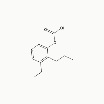 CCCc1c(CC)cccc1OC(=O)O